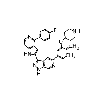 C=C/C(=C\C(=C/C)c1cc2c(-c3cc4c(-c5ccc(F)cc5)nccc4[nH]3)n[nH]c2cn1)OC1CCNCC1